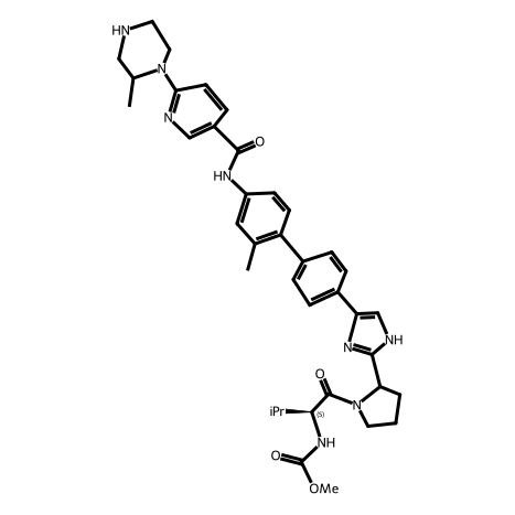 COC(=O)N[C@H](C(=O)N1CCCC1c1nc(-c2ccc(-c3ccc(NC(=O)c4ccc(N5CCNCC5C)nc4)cc3C)cc2)c[nH]1)C(C)C